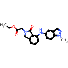 CCOC(=O)CN1Cc2cccc(Nc3ccc4c(cnn4C)c3)c2C1=O